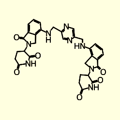 O=C1CCC(N2Cc3c(NCc4cnc(CNc5cccc6c5CN(C5CCC(=O)NC5=O)C6=O)cn4)cccc3C2=O)C(=O)N1